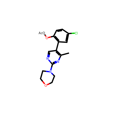 CC(=O)OOc1ccc(Cl)cc1-c1cnc(N2CCOCC2)nc1C